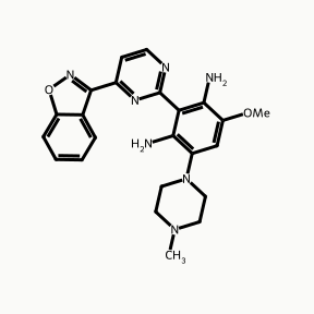 COc1cc(N2CCN(C)CC2)c(N)c(-c2nccc(-c3noc4ccccc34)n2)c1N